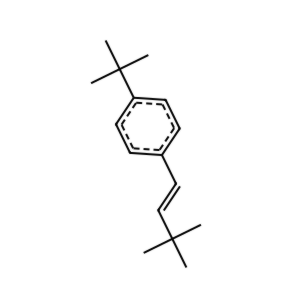 CC(C)(C)C=Cc1ccc(C(C)(C)C)cc1